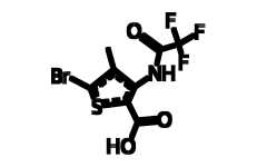 Cc1c(Br)sc(C(=O)O)c1NC(=O)C(F)(F)F